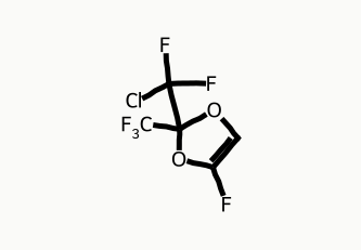 FC1=COC(C(F)(F)F)(C(F)(F)Cl)O1